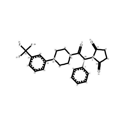 O=C([C@@H](c1ccccc1)N1C(=O)CCC1=O)N1CCN(c2cccc(C(F)(F)F)c2)CC1